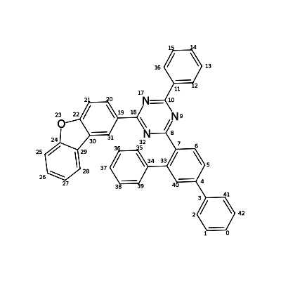 c1ccc(-c2ccc(-c3nc(-c4ccccc4)nc(-c4ccc5oc6ccccc6c5c4)n3)c(-c3ccccc3)c2)cc1